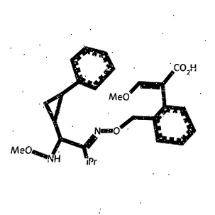 CO/C=C(/C(=O)O)c1ccccc1CO/N=C(\C(C)C)C(NOC)C1CC1c1ccccc1